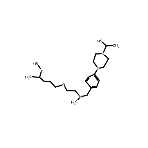 CC(CCCOCCN(C)Cc1ccc(N2CCN(C(C)S)CC2)cc1)SS